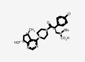 C[C@@H]1C[C@@H](O)c2ncnc(N3CCN(C(=O)[C@H](CN(C(=O)O)C(C)(C)C)c4ccc(Cl)cc4)CC3)c21